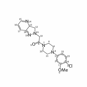 COc1cc(N2CCN(C(=O)CN3CC4N=CC=CC4=N3)CC2)ccc1Cl